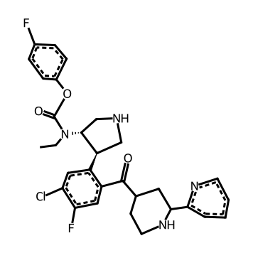 CCN(C(=O)Oc1ccc(F)cc1)[C@@H]1CNC[C@H]1c1cc(Cl)c(F)cc1C(=O)C1CCNC(c2ccccn2)C1